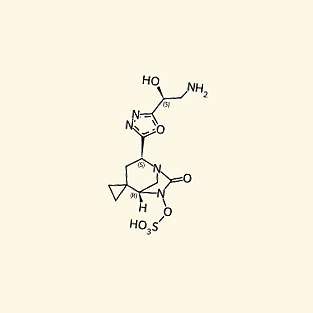 NC[C@H](O)c1nnc([C@@H]2CC3(CC3)[C@@H]3CN2C(=O)N3OS(=O)(=O)O)o1